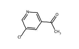 CC(=O)c1[c]c(Cl)cnc1